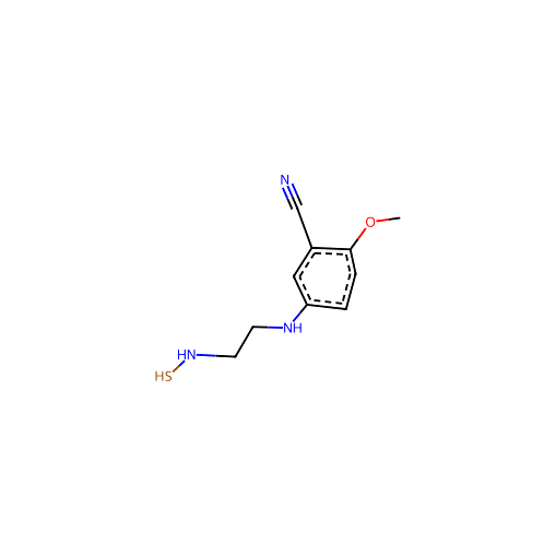 COc1ccc(NCCNS)cc1C#N